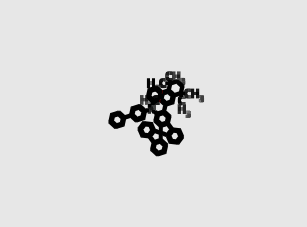 Cc1cc2c(cc1-c1cc3c(cc1N(c1ccccc1)c1ccc(-c4ccccc4)cc1)C1(c4ccccc4-c4ccccc41)c1ccccc1-3)C(C)(C)CCC2(C)C